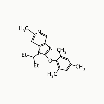 CCC(CC)n1c(Oc2c(C)cc(C)cc2C)nc2cnc(C)cc21